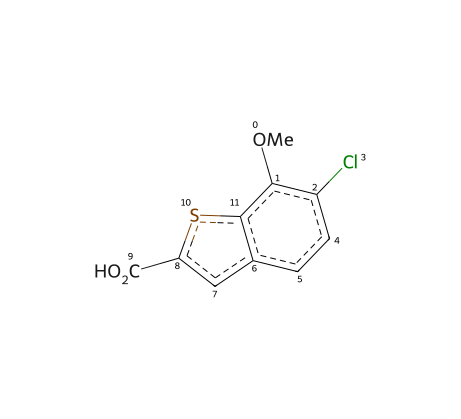 COc1c(Cl)ccc2cc(C(=O)O)sc12